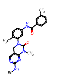 CCNc1ncc2c(n1)N(C)C(=O)N(c1cc(NC(=O)c3cccc(C(F)(F)F)c3)ccc1C)C2